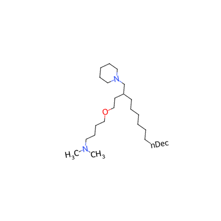 CCCCCCCCCCCCCCCCC(CCOCCCCN(C)C)CN1CCCCC1